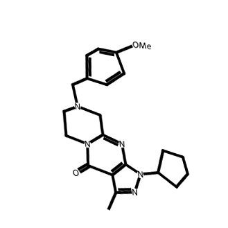 COc1ccc(CN2CCn3c(nc4c(c(C)nn4C4CCCC4)c3=O)C2)cc1